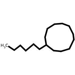 CCCCCCC1CCCCCCCCCC1